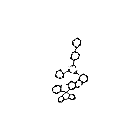 c1ccc(-c2ccc(-c3nc(-c4ccccc4)nc(-c4cccc5sc6cc7c(cc6c45)Oc4ccccc4C74c5ccccc5-c5ccccc54)n3)cc2)cc1